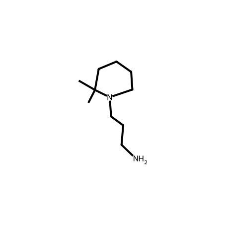 CC1(C)CCCCN1CCCN